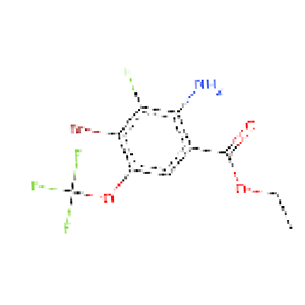 CCOC(=O)c1cc(OC(F)(F)F)c(Br)c(F)c1N